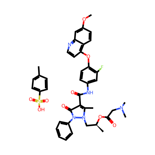 COc1ccc2c(Oc3ccc(NC(=O)c4c(C)n(C[C@H](C)OC(=O)CN(C)C)n(-c5ccccc5)c4=O)cc3F)ccnc2c1.Cc1ccc(S(=O)(=O)O)cc1